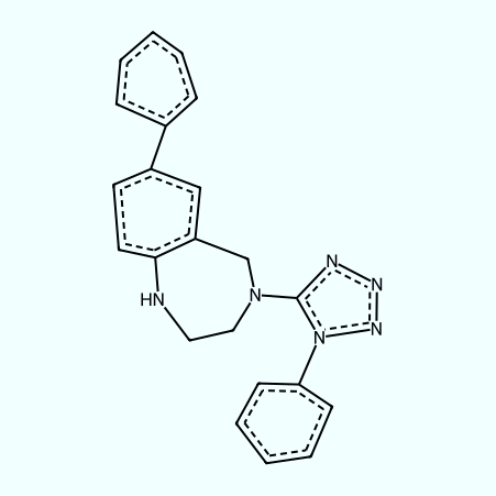 c1ccc(-c2ccc3c(c2)CN(c2nnnn2-c2ccccc2)CCN3)cc1